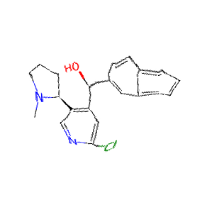 CN1CCC[C@H]1c1cnc(Cl)cc1[C@@H](O)c1ccc2ccccc2c1